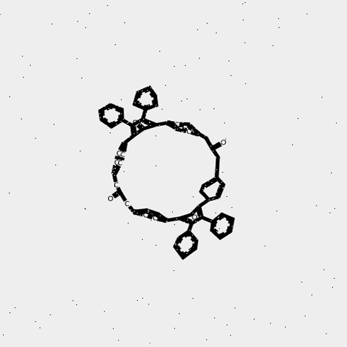 O=C1CC2=CCC(C=C2)C2=C(c3ccccc3)C(c3ccccc3)=C(C2=O)c2ccc(cc2)CC(=O)Cc2ccc(cc2)C2=C(c3ccccc3)C(c3ccccc3)=C(C2=O)c2ccc(cc2)C1